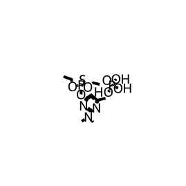 CCOP(=S)(OCC)Oc1cc(C)nc(N(C)C)n1.O=P(O)(O)O